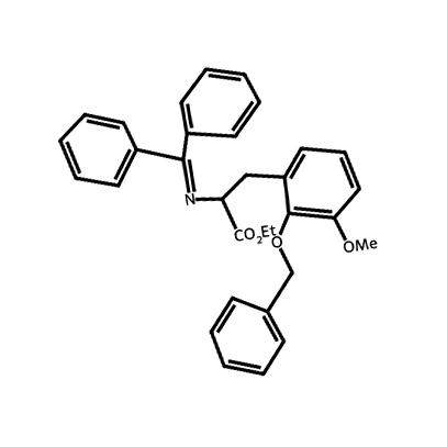 CCOC(=O)C(Cc1cccc(OC)c1OCc1ccccc1)N=C(c1ccccc1)c1ccccc1